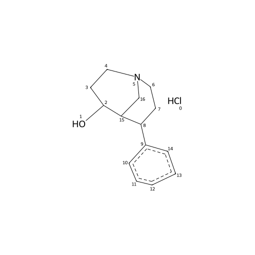 Cl.OC1CCN2CCC(c3ccccc3)C1C2